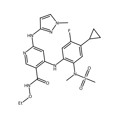 CCONC(=O)c1cnc(Nc2ccn(C)n2)cc1Nc1cc(F)c(C2CC2)cc1N(C)S(C)(=O)=O